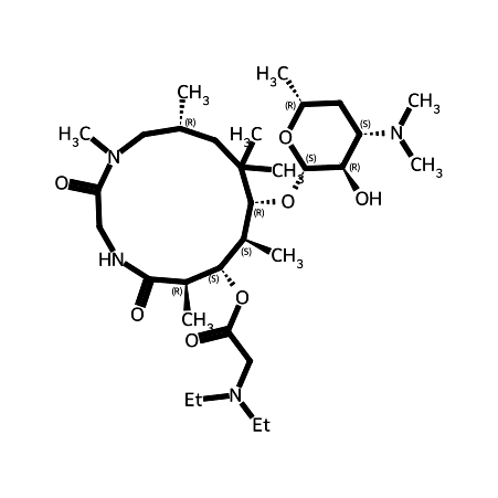 CCN(CC)CC(=O)O[C@H]1[C@H](C)[C@@H](O[C@@H]2O[C@H](C)C[C@H](N(C)C)[C@H]2O)C(C)(C)C[C@@H](C)CN(C)C(=O)CNC(=O)[C@@H]1C